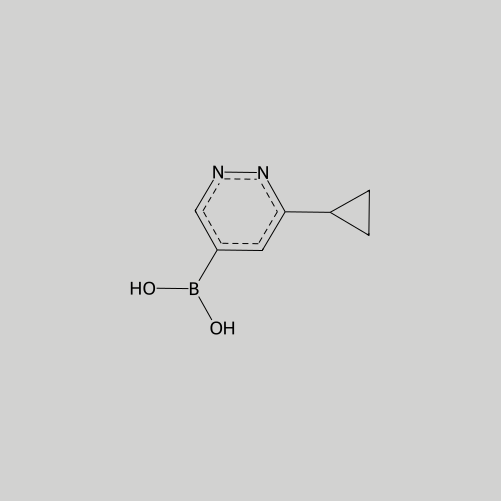 OB(O)c1cnnc(C2CC2)c1